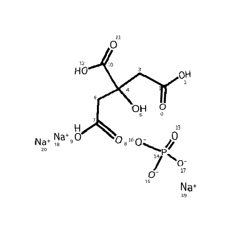 O=C(O)CC(O)(CC(=O)O)C(=O)O.O=P([O-])([O-])[O-].[Na+].[Na+].[Na+]